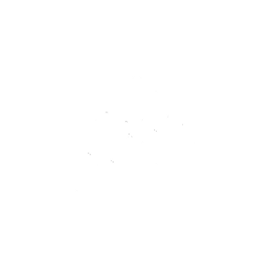 CSc1ncc2c(n1)N(c1cccc(C(C)(C)O)n1)[C@@H]1CC(C)(C)OC[C@]21C